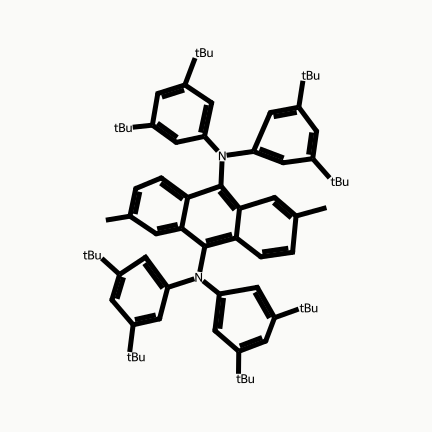 Cc1ccc2c(N(c3cc(C(C)(C)C)cc(C(C)(C)C)c3)c3cc(C(C)(C)C)cc(C(C)(C)C)c3)c3cc(C)ccc3c(N(c3cc(C(C)(C)C)cc(C(C)(C)C)c3)c3cc(C(C)(C)C)cc(C(C)(C)C)c3)c2c1